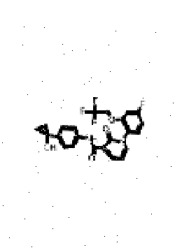 O=C(Nc1ccc(C2(O)CC2)cc1)c1cccn(-c2ccc(F)cc2OCC(F)(F)F)c1=O